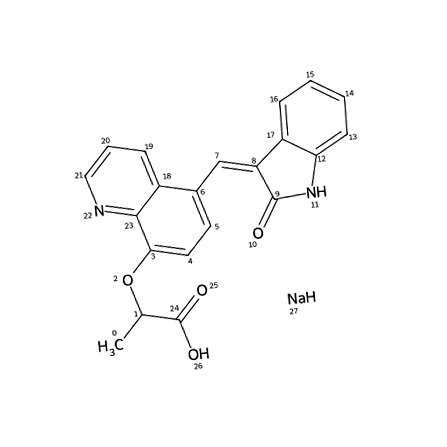 CC(Oc1ccc(C=C2C(=O)Nc3ccccc32)c2cccnc12)C(=O)O.[NaH]